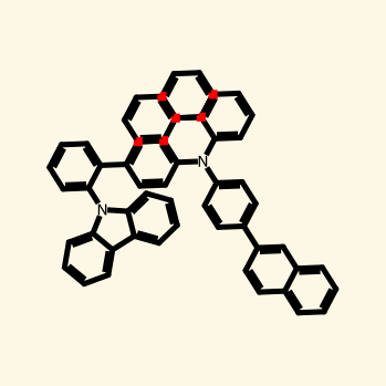 C1=CCC(c2cc(-c3ccccc3-n3c4ccccc4c4ccccc43)ccc2N(c2ccc(-c3ccc4ccccc4c3)cc2)c2ccccc2-c2ccccc2)C=C1